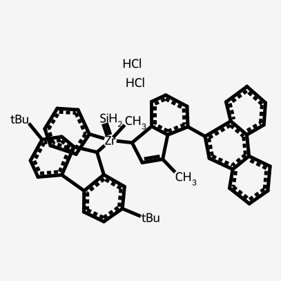 CC1=C[CH]([Zr]([CH3])(=[SiH2])([c]2ccccc2)[CH]2c3cc(C(C)(C)C)ccc3-c3ccc(C(C)(C)C)cc32)c2cccc(-c3cc4ccccc4c4ccccc34)c21.Cl.Cl